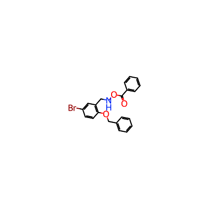 O=C(ONCc1cc(Br)ccc1OCc1ccccc1)c1ccccc1